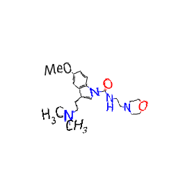 COc1ccc2c(c1)c(CCN(C)C)cn2C(=O)NCCN1CCOCC1